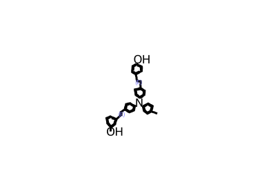 Cc1ccc(N(c2ccc(/C=C/c3ccc(O)cc3)cc2)c2ccc(/C=C/c3cccc(O)c3)cc2)cc1